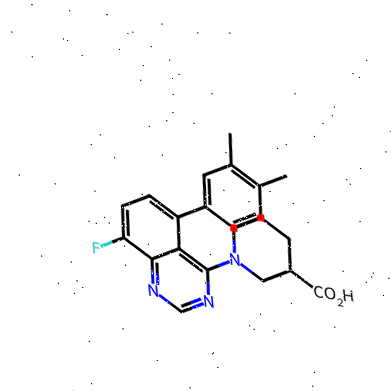 Cc1ccc(-c2ccc(F)c3ncnc(N4CCCC(C(=O)O)C4)c23)cc1C